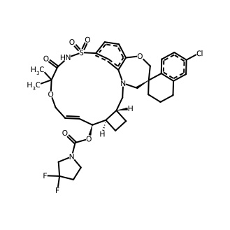 CC1(C)OC/C=C/[C@H](OC(=O)N2CCC(F)(F)C2)[C@@H]2CC[C@H]2CN2C[C@@]3(CCCc4cc(Cl)ccc43)COc3ccc(cc32)S(=O)(=O)NC1=O